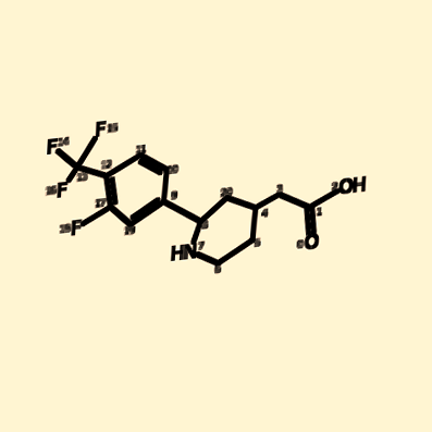 O=C(O)CC1CCNC(c2ccc(C(F)(F)F)c(F)c2)C1